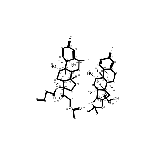 CC1(C)O[C@@H]2C[C@H]3[C@@H]4CCC5=CC(=O)C=C[C@]5(C)[C@H]4[C@@H](O)C[C@]3(C)[C@]2(C(=O)CO)O1.CCCC(=O)O[C@]1(C(=O)COC(C)=O)CC[C@H]2[C@@H]3C[C@H](F)C4=CC(=O)C=C[C@]4(C)[C@@]3(F)[C@@H](O)C[C@@]21C